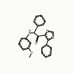 COc1cccc(NC(C(=O)c2ncsc2-c2ccccc2)c2ccccc2)c1